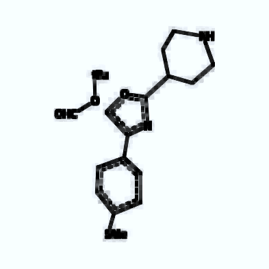 CC(C)(C)OC=O.CSc1ccc(-c2coc(C3CCNCC3)n2)cc1